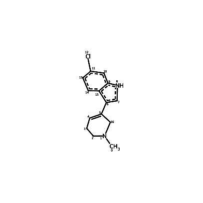 CN1CCC=C(c2c[nH]c3cc(Cl)ccc23)C1